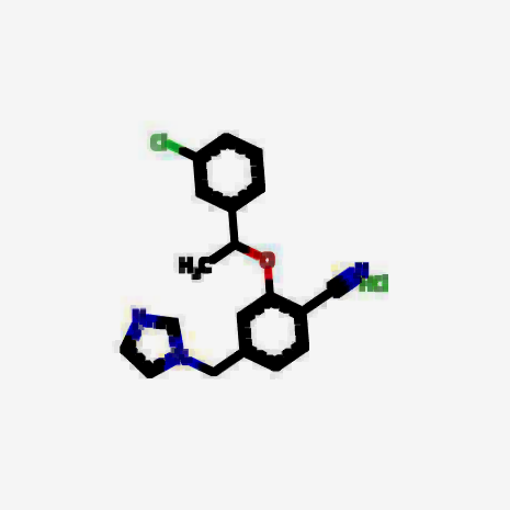 CC(Oc1cc(Cn2ccnc2)ccc1C#N)c1cccc(Cl)c1.Cl